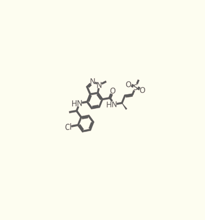 CC(Nc1ccc(C(=O)N[C@H](C)/C=C/S(C)(=O)=O)c2c1cnn2C)c1ccccc1Cl